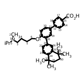 CC(C)N(C)CCCCOc1ccc(-c2ccc(C(=O)O)cc2)cc1-c1ccc2c(c1)C(C)(C)CCC2(C)C